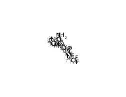 CC(c1ccc(F)c(F)c1F)N1CCN(C(=O)c2ccc(NS(=O)(=O)c3ccc(N)cc3-c3cccc4cccnc34)cc2)[C@H](C)C1